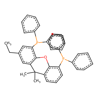 CCc1cc(P(c2ccccc2)c2ccccc2)c2c(c1)C(C)(C)c1cccc(P(c3ccccc3)c3ccccc3)c1O2